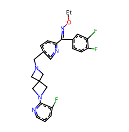 CCON=C(c1ccc(F)c(F)c1)c1ccc(CN2CC3(C2)CN(c2ncccc2F)C3)cn1